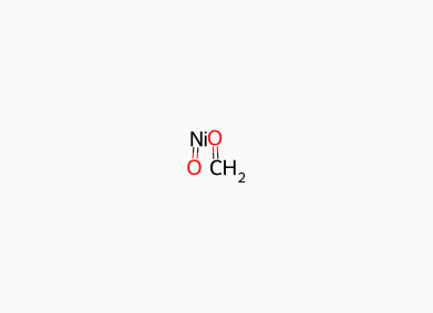 C=O.[O]=[Ni]